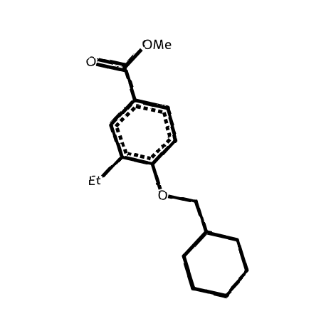 CCc1cc(C(=O)OC)ccc1OCC1CCCCC1